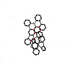 c1ccc(-c2ccccc2N(c2ccc(-c3ccc4c(c3)C3(c5ccccc5Oc5ccccc53)c3ccccc3-4)cc2)c2ccccc2-c2ccc3c(c2)-c2ccccc2C32c3ccccc3Oc3ccccc32)cc1